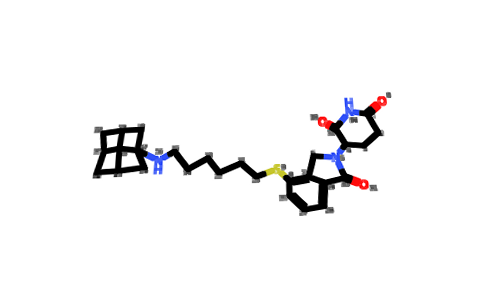 O=C1CCC(N2Cc3c(SCCCCCCNC45CC6CC7CC(C4)C765)cccc3C2=O)C(=O)N1